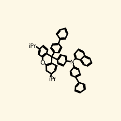 CC(C)c1ccc2c(c1)OC1=C(C=CC(C(C)C)C1)C2(c1ccc(-c2ccccc2)cc1)c1ccc(N(c2ccc(-c3ccccc3)cc2)c2cccc3ccccc23)cc1